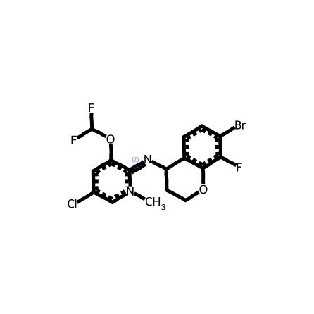 Cn1cc(Cl)cc(OC(F)F)/c1=N/C1CCOc2c1ccc(Br)c2F